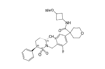 COC1CC(NC(=O)C2(c3ccc(CN4[C@@H](C)CC[C@H](c5ccccc5)S4(=O)=O)c(F)c3)CCOCC2)C1